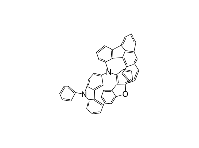 c1ccc(-n2c3ccccc3c3cc(N(c4cccc5c4-c4c6ccccc6cc6cccc-5c46)c4cccc5oc6ccccc6c45)ccc32)cc1